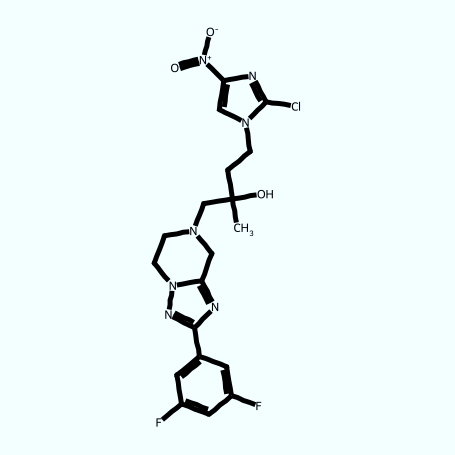 CC(O)(CCn1cc([N+](=O)[O-])nc1Cl)CN1CCn2nc(-c3cc(F)cc(F)c3)nc2C1